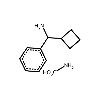 NC(=O)O.NC(c1ccccc1)C1CCC1